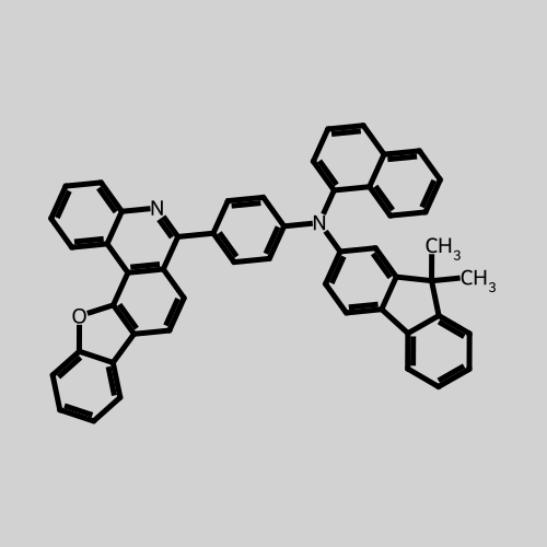 CC1(C)c2ccccc2-c2ccc(N(c3ccc(-c4nc5ccccc5c5c4ccc4c6ccccc6oc45)cc3)c3cccc4ccccc34)cc21